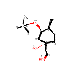 C=C1CC[C@@](O)(CO)C[C@H]1O[Si](C)(C)C(C)(C)C